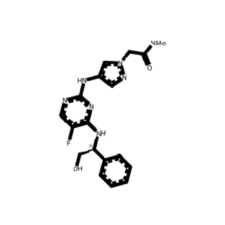 CNC(=O)Cn1cc(Nc2ncc(F)c(N[C@H](CO)c3ccccc3)n2)cn1